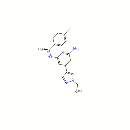 COCn1cc(-c2cc(N)nc(N[C@@H](C)C3=CC=C(F)CC3)c2)cn1